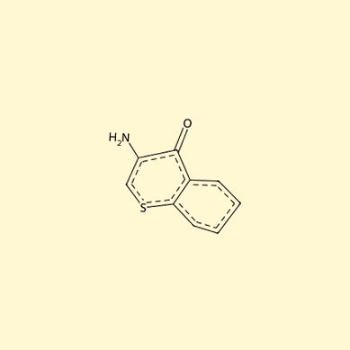 Nc1csc2ccccc2c1=O